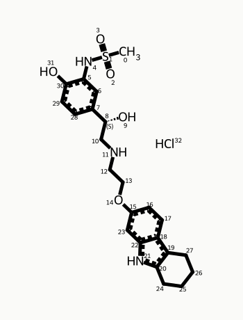 CS(=O)(=O)Nc1cc([C@H](O)CNCCOc2ccc3c4c([nH]c3c2)CCCC4)ccc1O.Cl